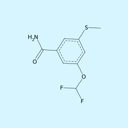 CSc1cc(OC(F)F)cc(C(N)=O)c1